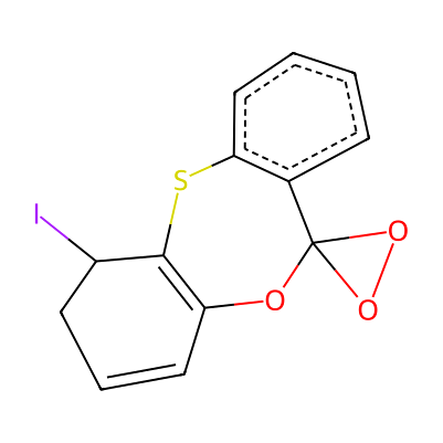 IC1CC=CC2=C1Sc1ccccc1C1(OO1)O2